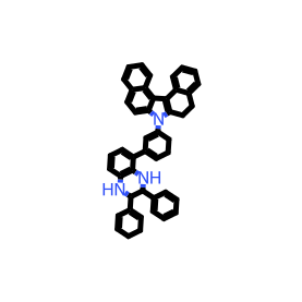 C1=CC(C2Nc3cccc(C4=CCCC(n5c6c(c7c8ccccc8ccc75)-c5ccccc5CC6)=C4)c3NC2c2ccccc2)=CCC1